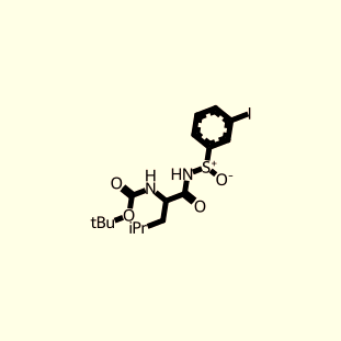 CC(C)CC(NC(=O)OC(C)(C)C)C(=O)N[S+]([O-])c1cccc(I)c1